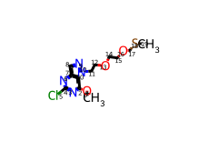 COc1nc(Cl)nc2cnn(CCOCCOCSC)c12